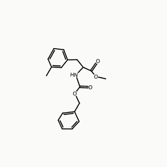 COC(=O)C(Cc1cccc(C)c1)NC(=O)OCc1ccccc1